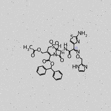 CC(=O)OCC1=C(C(=O)OC(c2ccccc2)c2ccccc2)N2C(=O)[C@@H](NC(=O)/C(=N\OCc3ncc[nH]3)c3csc(N)n3)[C@H]2S(=O)(=O)C1